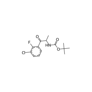 CC(NC(=O)OC(C)(C)C)C(=O)c1cccc(Cl)c1F